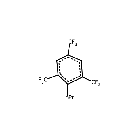 [CH2]CCc1c(C(F)(F)F)cc(C(F)(F)F)cc1C(F)(F)F